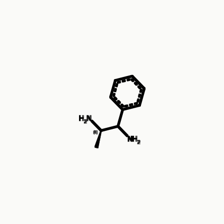 C[C@@H](N)C(N)c1ccccc1